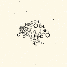 CC1(C)S[C@@H]2[C@H](NC(=O)C(N)c3ccccc3)C(=O)N2[C@H]1C(=O)OCOC(=O)[C@@H]1N2C(=O)C[C@H]2S(=O)(=O)C1(C)C.Cc1ccc(S(=O)(=O)O)cc1.O